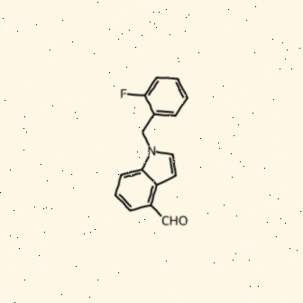 O=Cc1cccc2c1ccn2Cc1ccccc1F